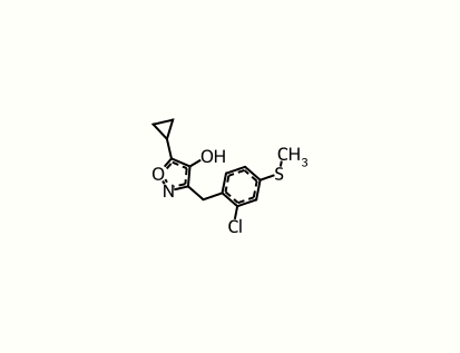 CSc1ccc(Cc2noc(C3CC3)c2O)c(Cl)c1